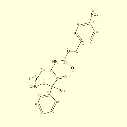 O=[C]OC(Cl)(C(=O)[C@H](CC(=O)O)NC(=O)OCc1ccc([N+](=O)[O-])cc1)c1ccccc1